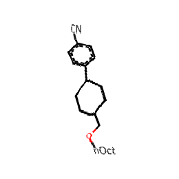 CCCCCCCCOCC1CCC(c2ccc(C#N)cc2)CC1